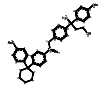 COc1ccc(C2(c3cc[c]([Co](=[O])[O]c4ccc(C(C)(CCO)c5ccc(OC(C)=O)cc5)cc4)cc3)CCCCC2)cc1